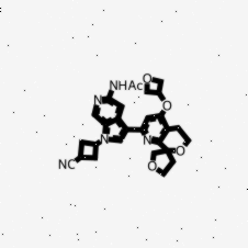 CC(=O)Nc1cc2c(-c3cc(OC4COC4)c4c(n3)C3(CCOC3)OCC4)cn(C3CC(C#N)C3)c2cn1